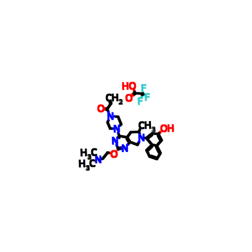 C=CC(=O)N1CCN(c2nc(OCCN(C)C)nc3c2CC(C)N(c2cc(O)cc4ccccc24)C3)CC1.O=C(O)C(F)(F)F